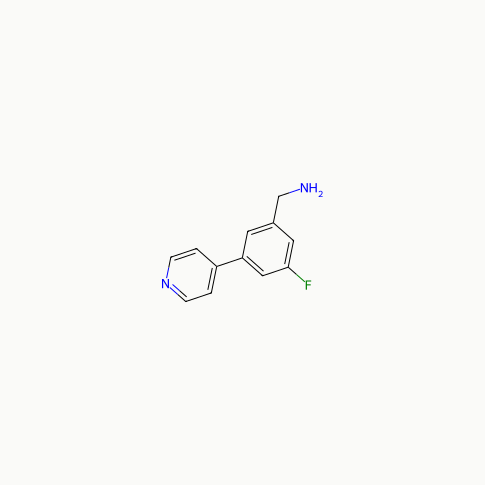 NCc1cc(F)cc(-c2ccncc2)c1